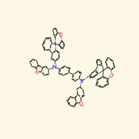 c1ccc2c(c1)Oc1ccccc1C21c2ccccc2-c2cc(N(c3ccc(-c4ccc(N(c5ccc6c(c5)-c5ccccc5C65c6ccccc6Oc6ccccc65)c5ccc6oc7ccccc7c6c5)cc4)cc3)c3ccc4oc5ccccc5c4c3)ccc21